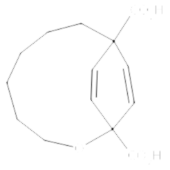 O=C(O)C12C=CC(C(=O)O)(C=C1)OCCCCCC2